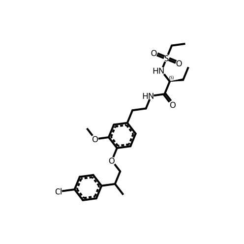 CC[C@H](NS(=O)(=O)CC)C(=O)NCCc1ccc(OCC(C)c2ccc(Cl)cc2)c(OC)c1